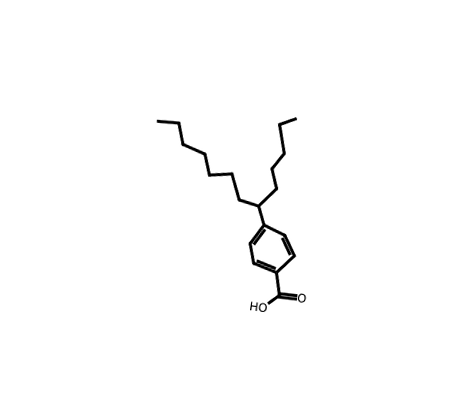 CCCCCCCC(CCCCC)c1ccc(C(=O)O)cc1